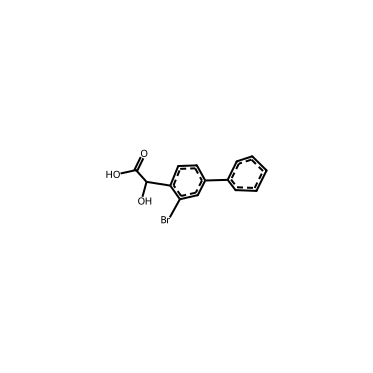 O=C(O)C(O)c1ccc(-c2ccccc2)cc1Br